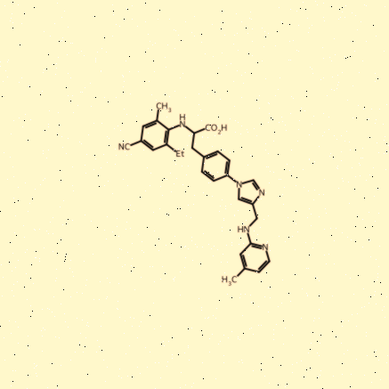 CCc1cc(C#N)cc(C)c1NC(Cc1ccc(-n2cnc(CNc3cc(C)ccn3)c2)cc1)C(=O)O